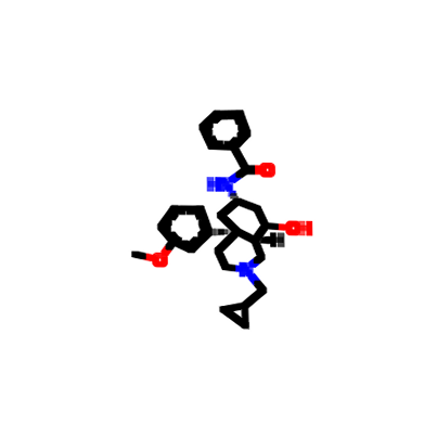 COc1cccc([C@@]23CCN(CC4CC4)C[C@H]2C(O)C[C@@H](NC(=O)c2ccccc2)C3)c1